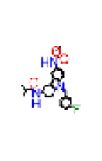 COC(=O)Nc1ccc2c(c1)c1c(n2Cc2cccc(F)c2)CC[C@@H](NC(=O)C(C)C)C1